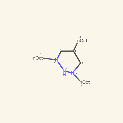 CCCCCCCCC1CN(CCCCCCCC)NN(CCCCCCCC)C1